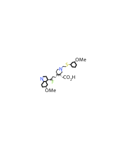 COc1cccc(SCCN2CC[C@@H](CC[C@@H](F)c3ccnc4ccc(OC)cc34)[C@@H](CC(=O)O)C2)c1